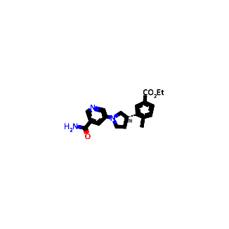 CCOC(=O)c1ccc(C)c([C@@H]2CCN(c3cncc(C(N)=O)c3)C2)c1